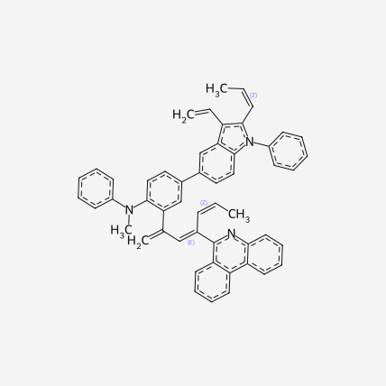 C=Cc1c(/C=C\C)n(-c2ccccc2)c2ccc(-c3ccc(N(C)c4ccccc4)c(C(=C)/C=C(\C=C/C)c4nc5ccccc5c5ccccc45)c3)cc12